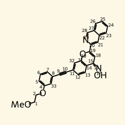 COCCOc1cccc(C#Cc2ccc3/c(=N\O)cc(-c4cc5ccccc5cn4)oc3c2)c1